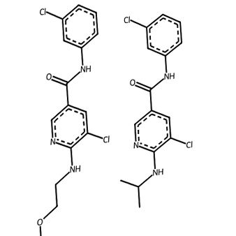 CC(C)Nc1ncc(C(=O)Nc2cccc(Cl)c2)cc1Cl.COCCNc1ncc(C(=O)Nc2cccc(Cl)c2)cc1Cl